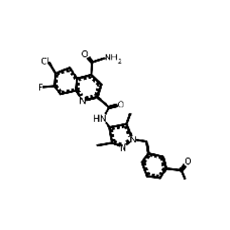 CC(=O)c1cccc(Cn2nc(C)c(NC(=O)c3cc(C(N)=O)c4cc(Cl)c(F)cc4n3)c2C)c1